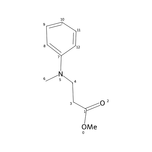 COC(=O)CCN(C)c1cc[c]cc1